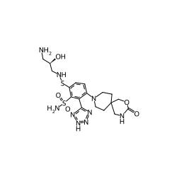 NC[C@@H](O)CNSc1ccc(N2CCC3(CC2)CNC(=O)OC3)c(-c2nn[nH]n2)c1S(N)(=O)=O